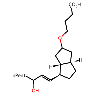 CCCCCC(O)C=C[C@@H]1CC[C@@H]2CC(OCCCC(=O)O)C[C@H]21